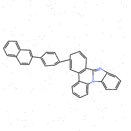 C1=Cc2c(c3ccccc3n3c2nc2ccccc23)C=C(c2ccc(-c3ccc4ccccc4c3)cc2)C1